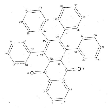 O=C1c2ccccc2C(=O)c2c1c(-c1ccccc1)c(-c1ccccc1)c(-c1ccccc1)c2-c1ccccc1